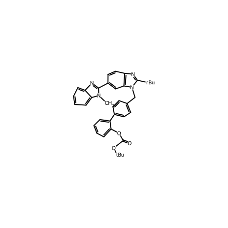 CCCCc1nc2ccc(-c3nc4ccccc4n3C)cc2n1Cc1ccc(-c2ccccc2OC(=O)OC(C)(C)C)cc1